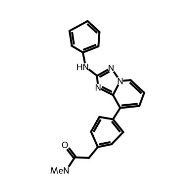 CNC(=O)Cc1ccc(-c2cccn3nc(Nc4ccccc4)nc23)cc1